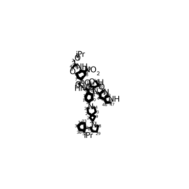 CC(C)OC[C@@H]1COc2cc(S(=O)(=O)NC(=O)c3ccc(N4CCC5(CC4)CC(N4CCC[C@H]4c4ccccc4C(C)C)C5)cc3N3c4cc5cc[nH]c5nc4O[C@H]4COC[C@@H]43)cc([N+](=O)[O-])c2N1